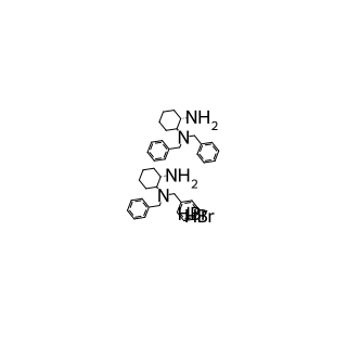 Br.Br.N[C@H]1CCCC[C@@H]1N(Cc1ccccc1)Cc1ccccc1.N[C@H]1CCCC[C@@H]1N(Cc1ccccc1)Cc1ccccc1